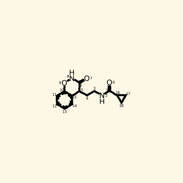 O=C(NCCC1C(=O)NOc2ccccc21)C1CC1